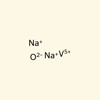 [Na+].[Na+].[O-2].[V+5]